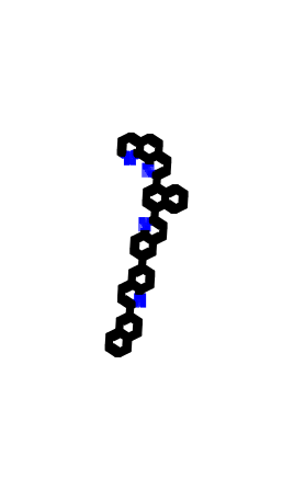 c1ccc2cc(-c3ccc4cc(-c5ccc6nc(-c7ccc(-c8ccc9ccc%10cccnc%10c9n8)c8ccccc78)ccc6c5)ccc4n3)ccc2c1